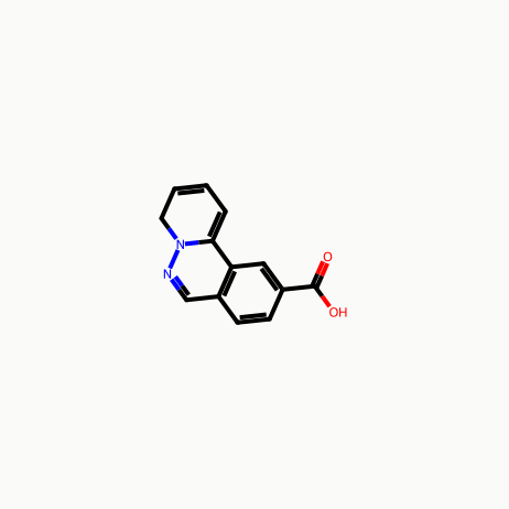 O=C(O)c1ccc2c(c1)C1=CC=CCN1N=C2